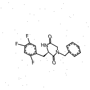 O=C1CN(Cc2ccccc2)C(=O)[C@@H](Cc2cc(F)c(F)cc2F)N1